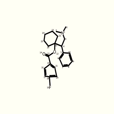 CN(C)CC(c1cc[c]cc1)C1(OC(=O)c2ccc(F)cc2)CCCCC1